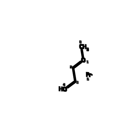 COCCO.[Pr]